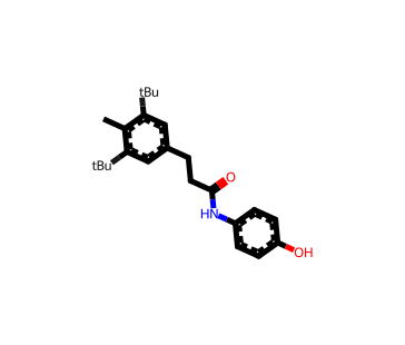 Cc1c(C(C)(C)C)cc(CCC(=O)Nc2ccc(O)cc2)cc1C(C)(C)C